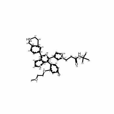 COCCOc1cc(F)ccc1-c1c(-c2cnn(CCC(=O)NC(C)(C)C)c2)nc(-c2ccc3c(c2)CCNC3)c2ccsc12